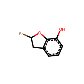 Oc1cccc2c1OC(Br)C2